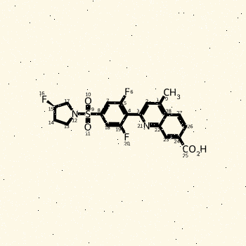 Cc1cc(-c2c(F)cc(S(=O)(=O)N3CC[C@@H](F)C3)cc2F)nc2cc(C(=O)O)ccc12